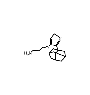 NCCCOC1=CC[CH]C=C1C12CC3CC(CC(C3)C1)C2